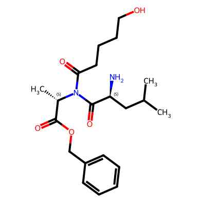 CC(C)C[C@H](N)C(=O)N(C(=O)CCCCO)[C@@H](C)C(=O)OCc1ccccc1